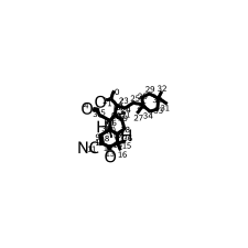 CC1OC(=O)C[C@@H]2[C@@]3(C)C=C(C#N)C(=O)C(C)(C)[C@@H]3CC[C@@]2(C)[C@]1(C)CCC1(C)CCC(C)(C)CC1